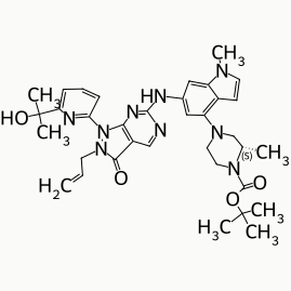 C=CCn1c(=O)c2cnc(Nc3cc(N4CCN(C(=O)OC(C)(C)C)[C@@H](C)C4)c4ccn(C)c4c3)nc2n1-c1cccc(C(C)(C)O)n1